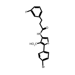 O=C(CCc1cccc(F)c1)Nc1csc(-c2ccc(Br)cc2)c1C(=O)O